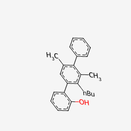 CCCCc1c(-c2ccccc2O)cc(C)c(-c2ccccc2)c1C